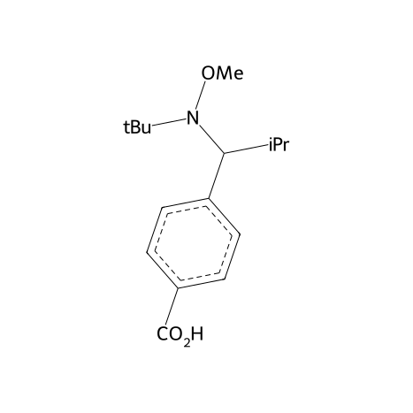 CON(C(c1ccc(C(=O)O)cc1)C(C)C)C(C)(C)C